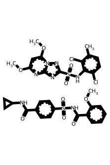 COc1cc(OC)n2nc(S(=O)(=O)Nc3c(Cl)ccc(C)c3Cl)nc2n1.COc1ccccc1C(=O)NS(=O)(=O)c1ccc(C(=O)NC2CC2)cc1